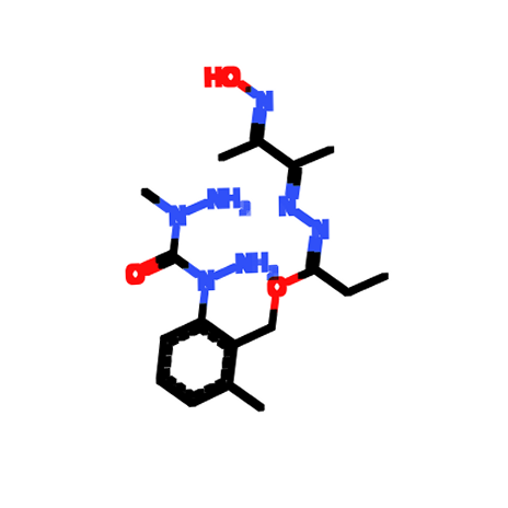 CC/C(=N/N=C(C)/C(C)=N/O)OCc1c(C)cccc1N(N)C(=O)N(C)N